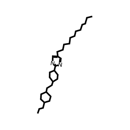 CCCCCCCCCCCCc1cnc(C2CCC(CCC3CCC(CCC)CC3)CC2)nc1